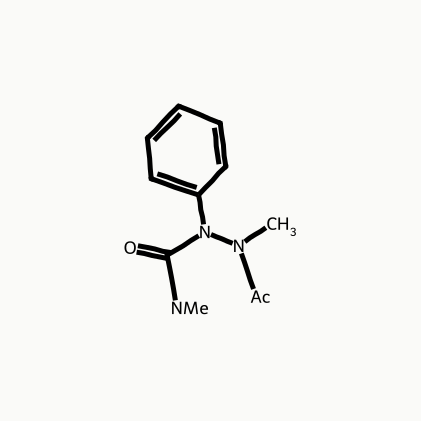 CNC(=O)N(c1ccccc1)N(C)C(C)=O